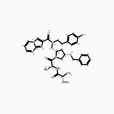 CN[C@@H](C)C(=O)N[C@H](C(=O)N1C[C@@H](OCc2ccccc2)C[C@H]1CN(CCc1ccc(F)cc1)C(=O)c1cn2cccnc2n1)C(C)(C)C